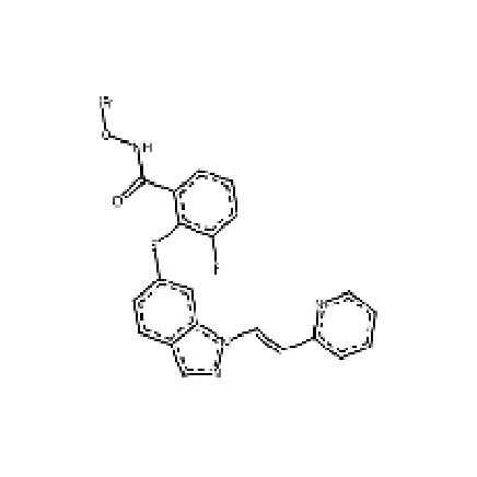 CC(C)ONC(=O)c1cccc(F)c1Sc1ccc2cnn(C=Cc3ccccn3)c2c1